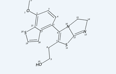 COc1ccc(C2=C(CCO)SC3=NCCN32)c2ccsc12